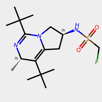 C[C@@H]1N=C(C(C)(C)C)N2C[C@@H](NS(=O)(=O)CF)CC2=C1C(C)(C)C